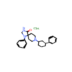 Cl.O=C1NCN(c2ccccc2)C12CCN(C1CCCC(c3ccccc3)C1)CC2